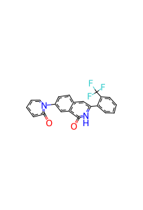 O=c1[nH]c(-c2ccccc2C(F)(F)F)cc2ccc(-n3ccccc3=O)cc12